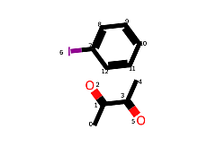 CC(=O)C(C)=O.Ic1ccccc1